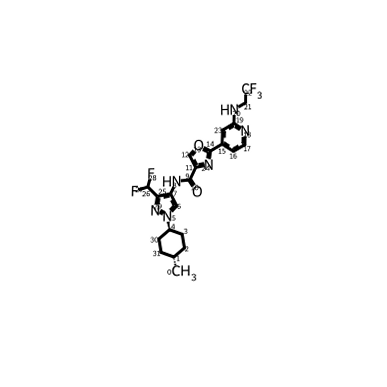 C[C@H]1CC[C@H](n2cc(NC(=O)c3coc(-c4ccnc(NCC(F)(F)F)c4)n3)c(C(F)F)n2)CC1